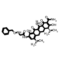 CN(C)c1cc(NC(=O)CNOCc2ccccc2)c(O)c2c1CC1CC3[C@H](N(C)C)C(O)=C(C(N)=O)C(=O)[C@@]3(O)C(O)=C1C2=O